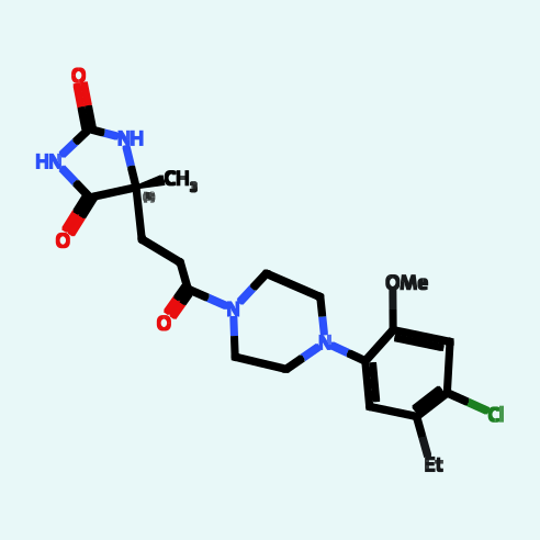 CCc1cc(N2CCN(C(=O)CC[C@@]3(C)NC(=O)NC3=O)CC2)c(OC)cc1Cl